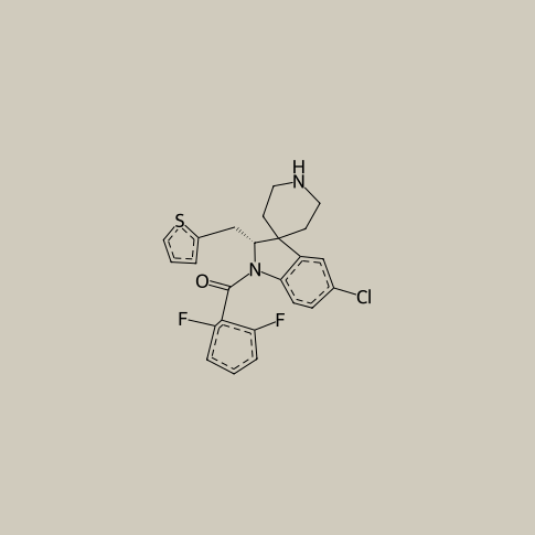 O=C(c1c(F)cccc1F)N1c2ccc(Cl)cc2C2(CCNCC2)[C@H]1Cc1cccs1